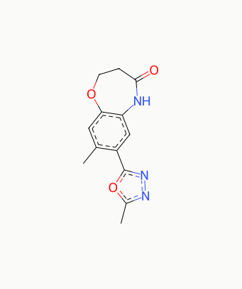 Cc1nnc(-c2cc3c(cc2C)OCCC(=O)N3)o1